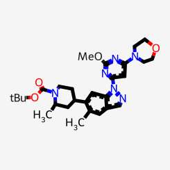 COc1nc(N2CCOCC2)cc(-n2ncc3cc(C)c(C4CCN(C(=O)OC(C)(C)C)C(C)C4)cc32)n1